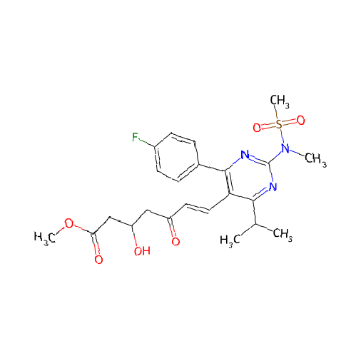 COC(=O)CC(O)CC(=O)/C=C/c1c(-c2ccc(F)cc2)nc(N(C)S(C)(=O)=O)nc1C(C)C